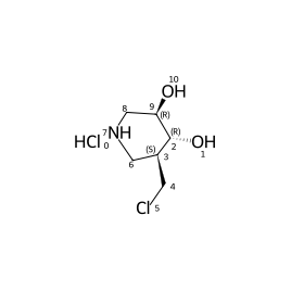 Cl.O[C@@H]1[C@@H](CCl)CNC[C@H]1O